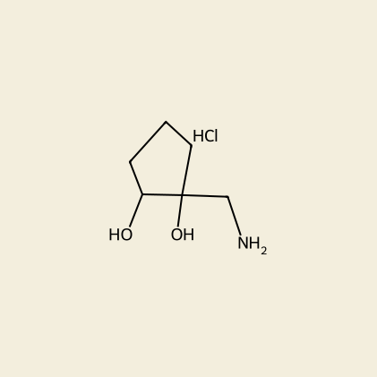 Cl.NCC1(O)CCCC1O